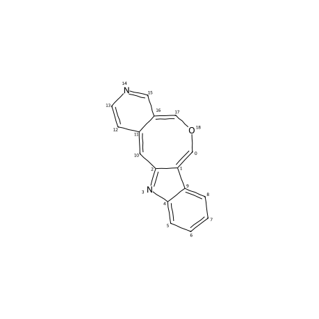 C1=C2C(=Nc3ccccc32)C=c2ccncc2=CO1